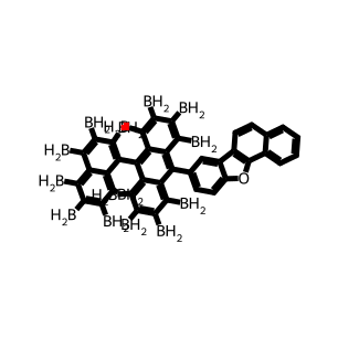 Bc1c(B)c(B)c2c(-c3c4c(B)c(B)c(B)c(B)c4c(-c4ccc5oc6c7ccccc7ccc6c5c4)c4c(B)c(B)c(B)c(B)c34)c(B)c(B)c(B)c2c1B